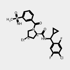 CC[C@@H]1C[C@H](C(=O)NC(c2cc(F)c(Cl)cc2F)C2CC2)N(C(=O)c2cccc(S(C)(=N)=O)c2)C1